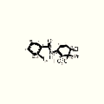 CC(C)C1(C(=O)O)C=C(NC(=O)c2ccccc2I)C=CC1Cl